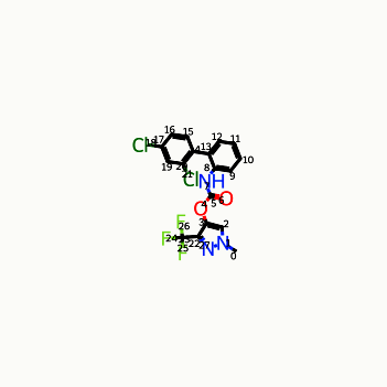 Cn1cc(OC(=O)Nc2ccccc2-c2ccc(Cl)cc2Cl)c(C(F)(F)F)n1